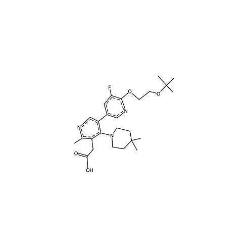 Cc1ncc(-c2cnc(OCCOC(C)(C)C)c(F)c2)c(N2CCC(C)(C)CC2)c1CC(=O)O